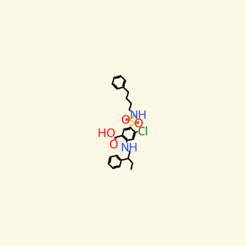 CCC(CNc1cc(Cl)c(S(=O)(=O)NCCCCc2ccccc2)cc1C(=O)O)c1ccccc1